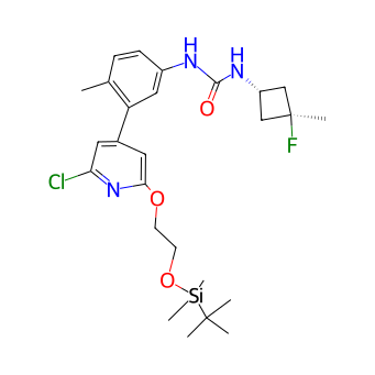 Cc1ccc(NC(=O)N[C@H]2C[C@](C)(F)C2)cc1-c1cc(Cl)nc(OCCO[Si](C)(C)C(C)(C)C)c1